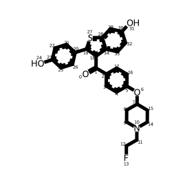 O=C(c1ccc(OC2CCN(CCF)CC2)cc1)c1c(-c2ccc(O)cc2)sc2cc(O)ccc12